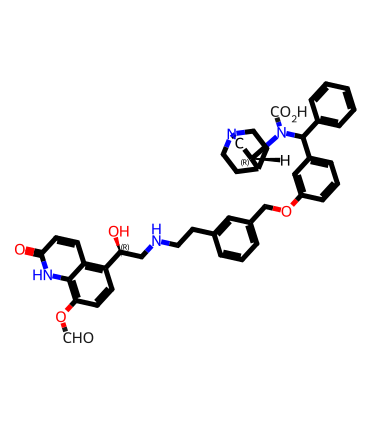 O=COc1ccc([C@@H](O)CNCCc2cccc(COc3cccc(C(c4ccccc4)N(C(=O)O)[C@H]4CN5CCC4CC5)c3)c2)c2ccc(=O)[nH]c12